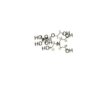 CCCCOCCO.O=P(O)(O)O.OCCN(CCO)CCO